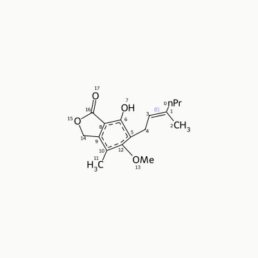 CCC/C(C)=C/Cc1c(O)c2c(c(C)c1OC)COC2=O